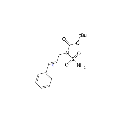 CC(C)(C)OC(=O)N(C/C=C/c1ccccc1)S(N)(=O)=O